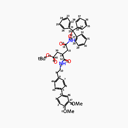 COc1ccc(-c2ccc(CCNC(=O)C(CC(=O)NOC(c3ccccc3)(c3ccccc3)c3ccccc3)CC(=O)OC(C)(C)C)cc2)cc1OC